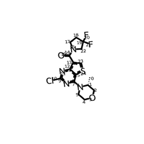 C[C@@H]1COCCN1c1nc(Cl)nc2c(C(=O)N3CCC(F)(F)C3)csc12